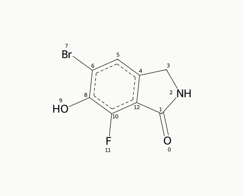 O=C1NCc2cc(Br)c(O)c(F)c21